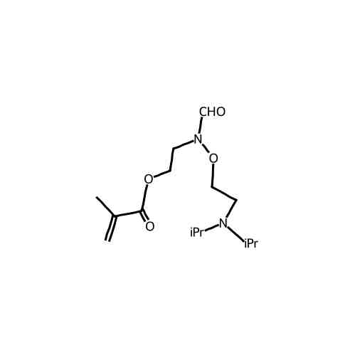 C=C(C)C(=O)OCCN(C=O)OCCN(C(C)C)C(C)C